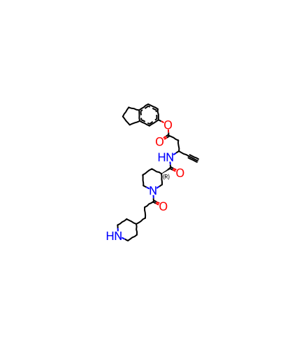 C#CC(CC(=O)Oc1ccc2c(c1)CCC2)NC(=O)[C@@H]1CCCN(C(=O)CCC2CCNCC2)C1